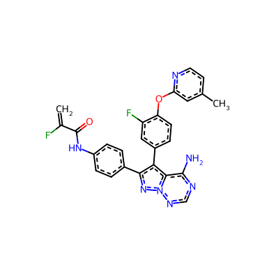 C=C(F)C(=O)Nc1ccc(-c2nn3ncnc(N)c3c2-c2ccc(Oc3cc(C)ccn3)c(F)c2)cc1